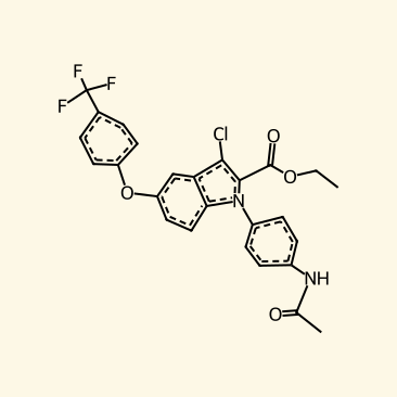 CCOC(=O)c1c(Cl)c2cc(Oc3ccc(C(F)(F)F)cc3)ccc2n1-c1ccc(NC(C)=O)cc1